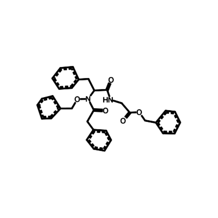 O=C(CNC(=O)C(Cc1ccccc1)N(OCc1ccccc1)C(=O)Cc1ccccc1)OCc1ccccc1